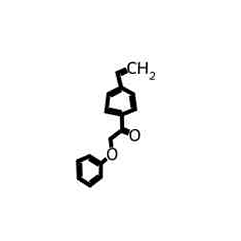 C=Cc1ccc(C(=O)COc2ccccc2)cc1